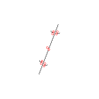 CCCCCCCCC(OC(=O)CC)C(CCCCCCCCCCCCOC(=O)CCCCCCCCCCCC(OC(=O)CC)C(CCCCCCCC)OC(=O)CC)OC(=O)CC